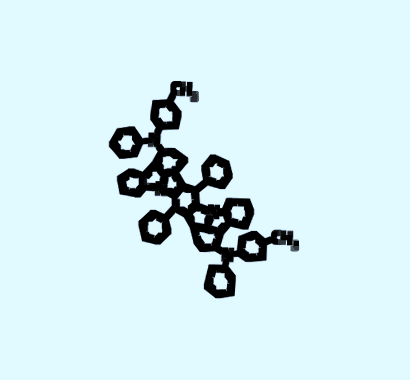 Cc1ccc(N(c2ccccc2)c2ccc3c4c(-c5ccccc5)c5c(c(-c6ccccc6)c4n4c6ccccc6c2c34)c2ccc(N(c3ccccc3)c3ccc(C)cc3)c3c4ccccc4n5c23)cc1